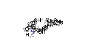 C=C(/C=C\C(=C/C)OC1CC(O)(CCN2CCN(c3cc4c(c(OC)c3)C(=O)N(C3CCC(=O)NC3=O)C4)CC2)C1)[C@@H]1c2ccc(O)cc2CC[C@@H]1c1ccccc1